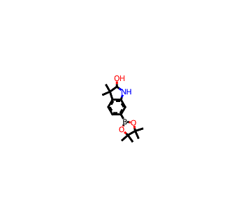 CC1(C)c2ccc(B3OC(C)(C)C(C)(C)O3)cc2NC1O